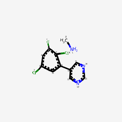 CN.Clc1cc(Cl)c(Cl)c(-c2cncnc2)c1